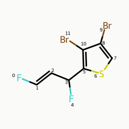 FC=CC(F)c1scc(Br)c1Br